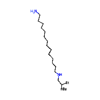 CCCCC(CC)CNCCCCCCCCCCCCCCN